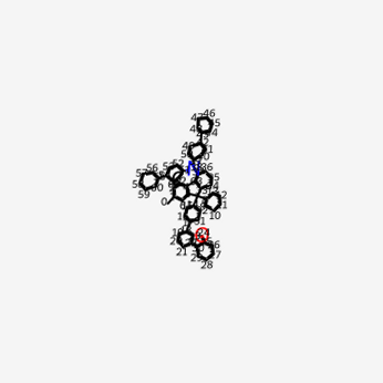 Cc1ccc2c(c1)C(c1ccccc1)(c1ccc(-c3cccc4c3oc3ccccc34)cc1)c1cccc(N(c3ccc(-c4ccccc4)cc3)c3ccc(-c4ccccc4)cc3)c1-2